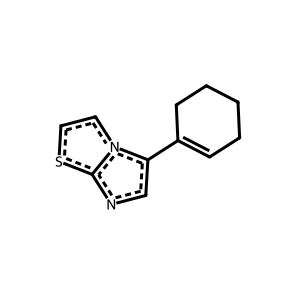 C1=C(c2cnc3sccn23)CCCC1